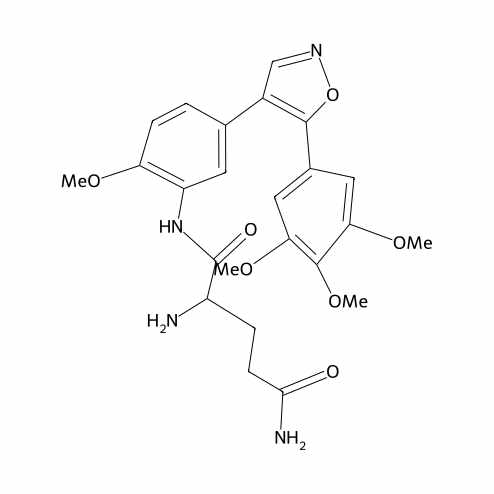 COc1ccc(-c2cnoc2-c2cc(OC)c(OC)c(OC)c2)cc1NC(=O)C(N)CCC(N)=O